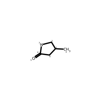 CC1C[N]C(=O)C1